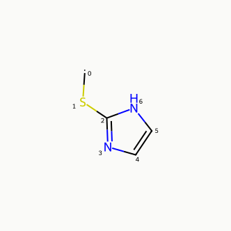 [CH2]Sc1ncc[nH]1